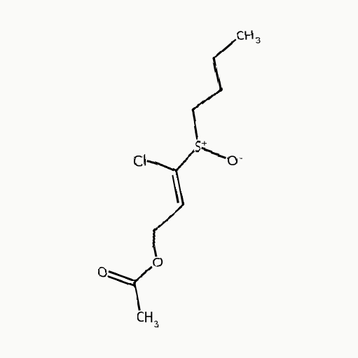 CCCC[S+]([O-])/C(Cl)=C/COC(C)=O